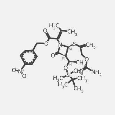 C=C(COC(N)=O)S[C@H]1[C@@H]([C@@H](C)O[Si](C)(C)C(C)(C)C)C(=O)N1C(C(=O)OCc1ccc([N+](=O)[O-])cc1)=C(C)C